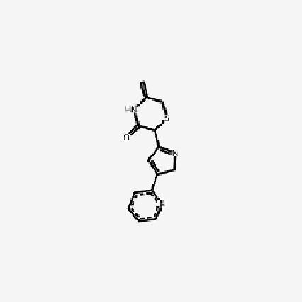 C=C1CSC(C2=NCC(c3ccccn3)=C2)C(=O)N1